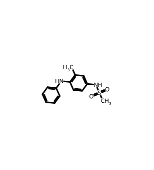 Cc1cc(NS(C)(=O)=O)ccc1Nc1ccccc1